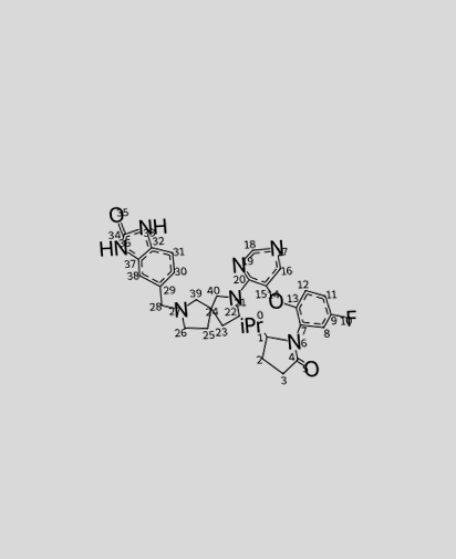 CC(C)C1CCC(=O)N1c1cc(F)ccc1Oc1cncnc1N1CCC2(CCN(Cc3ccc4[nH]c(=O)[nH]c4c3)C2)C1